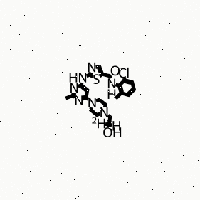 [2H]C([2H])(O)CN1CCN(c2cc(Nc3ncc(C(=O)Nc4c(C)cccc4Cl)s3)nc(C)n2)CC1